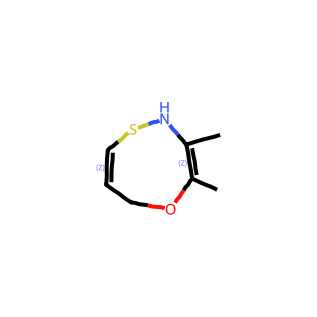 C/C1=C(\C)OC/C=C\SN1